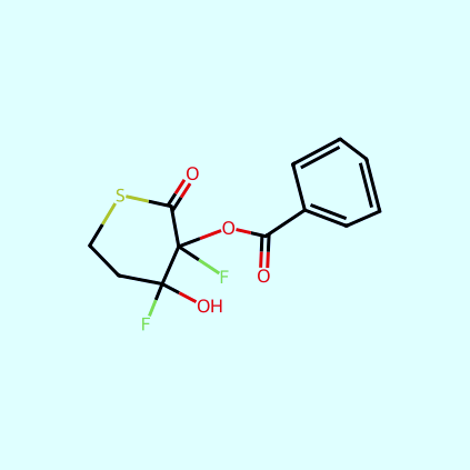 O=C(OC1(F)C(=O)SCCC1(O)F)c1ccccc1